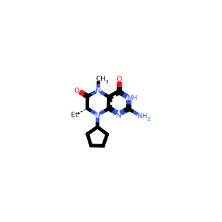 CC[C@@H]1C(=O)N(C)c2c(nc(N)[nH]c2=O)N1C1CCCC1